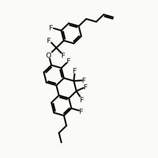 C=CCCc1ccc(C(F)(F)Oc2ccc3c(c2F)C(F)(F)C(F)(F)c2c-3ccc(CCC)c2F)c(F)c1